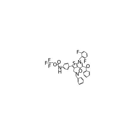 CN(Cc1ccccc1)Cc1c(-c2ccc(NC(=O)OCC(F)(F)F)cc2)sc2c1c(=O)c(C(=O)c1ccccc1)cn2Cc1c(F)cccc1F